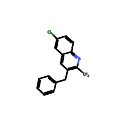 FC(F)(F)c1nc2ccc(Cl)cc2cc1Cc1ccccc1